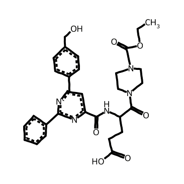 CCOC(=O)N1CCN(C(=O)C(CCC(=O)O)NC(=O)c2cc(-c3ccc(CO)cc3)nc(-c3ccccc3)n2)CC1